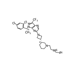 CC(C)CNCCN1CCC[C@H](C2CN(c3cnc4c(C(F)(F)F)nn([C@H](C)c5ccc(Cl)cc5Cl)c4n3)C2)C1